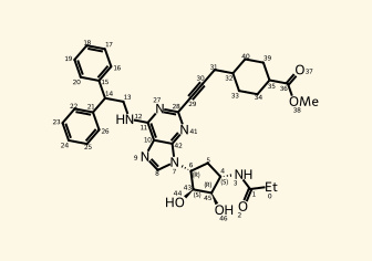 CCC(=O)N[C@H]1C[C@@H](n2cnc3c(NCC(c4ccccc4)c4ccccc4)nc(C#CCC4CCC(C(=O)OC)CC4)nc32)[C@H](O)[C@@H]1O